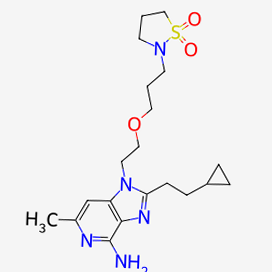 Cc1cc2c(nc(CCC3CC3)n2CCOCCCN2CCCS2(=O)=O)c(N)n1